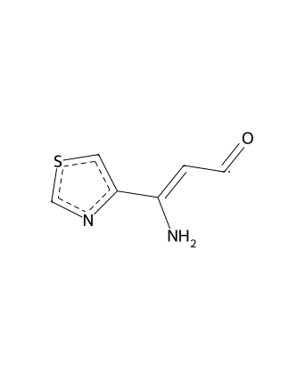 N/C(=C\[C]=O)c1cscn1